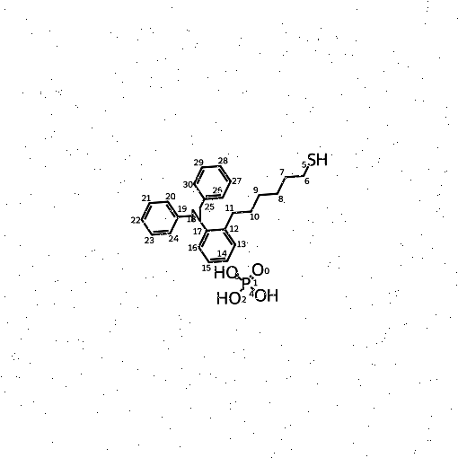 O=P(O)(O)O.SCCCCCCc1ccccc1N(c1ccccc1)c1ccccc1